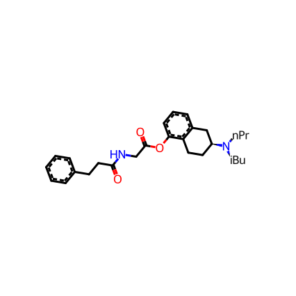 CCCN([C@H]1CCc2c(cccc2OC(=O)CNC(=O)CCc2ccccc2)C1)[C@H](C)CC